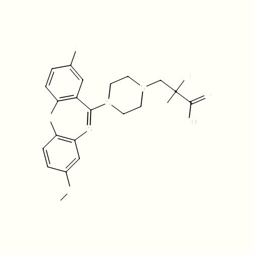 COc1ccc2c(c1)N=C(N1CCN(CC(C)(C)C(=O)O)CC1)c1cc(F)ccc1O2